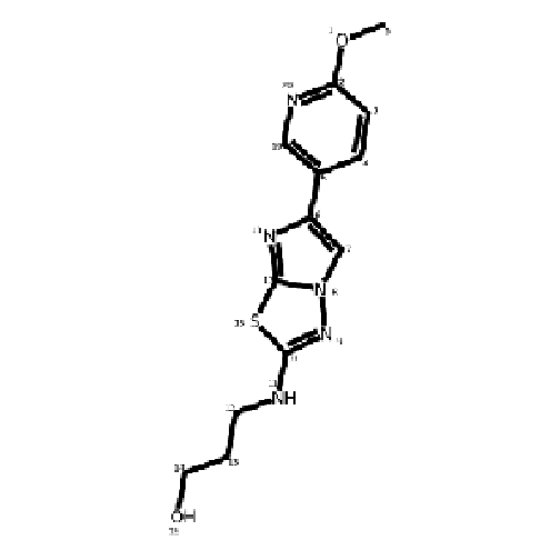 COc1ccc(-c2cn3nc(NCCCO)sc3n2)cn1